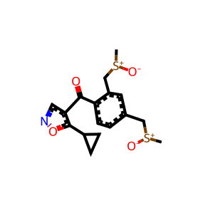 C[S+]([O-])Cc1ccc(C(=O)c2cnoc2C2CC2)c(C[S+](C)[O-])c1